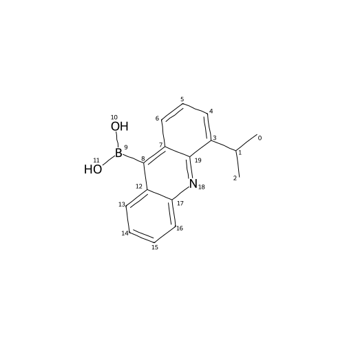 CC(C)c1cccc2c(B(O)O)c3ccccc3nc12